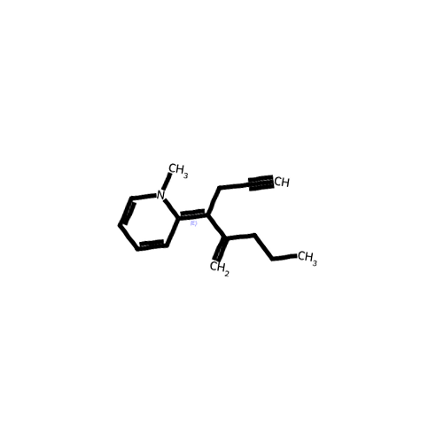 C#CC/C(C(=C)CCC)=C1/C=CC=CN1C